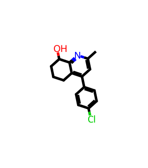 Cc1cc(-c2ccc(Cl)cc2)c2c(n1)C(O)CCC2